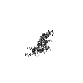 CC(C)C[C@H](NC(=O)[C@H](CCC(N)=O)NC(=O)[C@H](CC(C)C)NC(=O)[C@@H](N)CC(C)C)C(=O)N[C@@H](CCC(N)=O)C(=O)N[C@@H](CC(N)=O)C(=O)N[C@@H](Cc1ccc(O)cc1)C(=O)N[C@@H](CS)C(=O)N[C@@H](CC(N)=O)C(=O)O